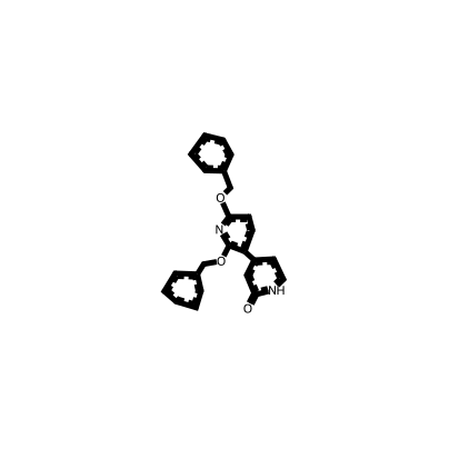 O=c1cc(-c2ccc(OCc3ccccc3)nc2OCc2ccccc2)cc[nH]1